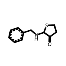 O=C1CCSC1NCc1ccccc1